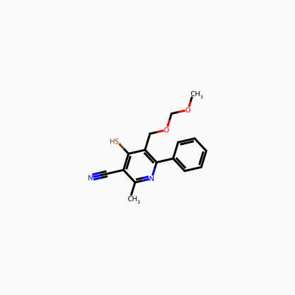 COCOCc1c(-c2ccccc2)nc(C)c(C#N)c1S